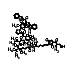 CC[C@H](C)[C@@H]([C@@H](CC(=O)N1CCC[C@H]1[C@H](OC)[C@@H](C)C(=O)N[C@@H](Cc1c[nH]c2ccccc12)C(=O)NCc1ccccc1)OC)N(C)C(=O)[C@@H](NC(=O)[C@H](C(C)C)N(C)CCCC(=O)NNC(=O)CCCCCN1C(=O)CC(C(=O)[C@@H](N)CS)C1=O)C(C)C